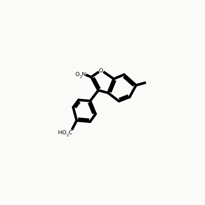 Cc1ccc2c(-c3ccc(C(=O)O)cc3)c([N+](=O)[O-])oc2c1